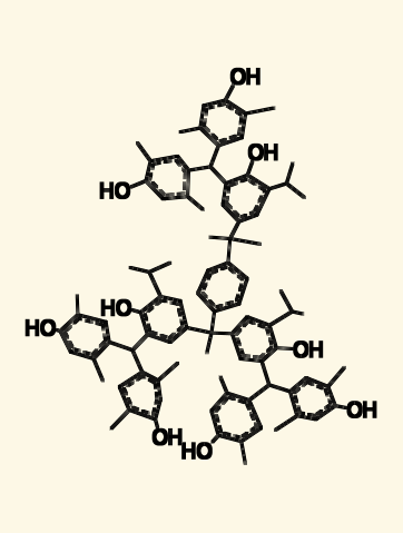 Cc1cc(C(c2cc(C)c(O)cc2C)c2cc(C(C)(C)c3ccc(C(C)(c4cc(C(C)C)c(O)c(C(c5cc(C)c(O)cc5C)c5cc(C)c(O)cc5C)c4)c4cc(C(C)C)c(O)c(C(c5cc(C)c(O)cc5C)c5cc(C)c(O)cc5C)c4)cc3)cc(C(C)C)c2O)c(C)cc1O